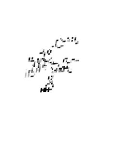 C[C@@H](O)[C@H]1C(=O)N2C(C(=O)OCc3ccc([N+](=O)[O-])cc3)=C(S[C@@H]3CN[C@H](CO[C@@H]4CCNC4)C3)[C@H](C)[C@H]12.O=C(O)C(=O)O